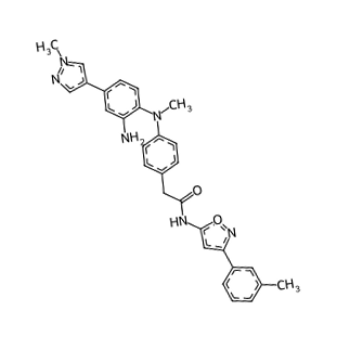 Cc1cccc(-c2cc(NC(=O)Cc3ccc(N(C)c4ccc(-c5cnn(C)c5)cc4N)cc3)on2)c1